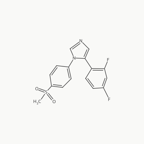 CS(=O)(=O)c1ccc(-n2cncc2-c2ccc(F)cc2F)cc1